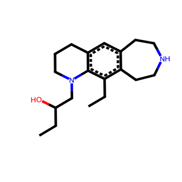 CCc1c2c(cc3c1N(CC(O)CC)CCC3)CCNCC2